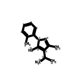 Cc1ccccc1-n1nc(C)c(C(C)C)c1O